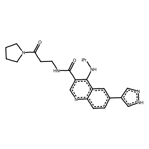 CC(C)Nc1c(C(=O)NCCC(=O)N2CCCC2)cnc2ccc(-c3cn[nH]c3)cc12